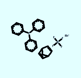 C1=CC2C=CC1C2.F[B-](F)(F)F.[Rh+].c1ccc(P(c2ccccc2)c2ccccc2)cc1